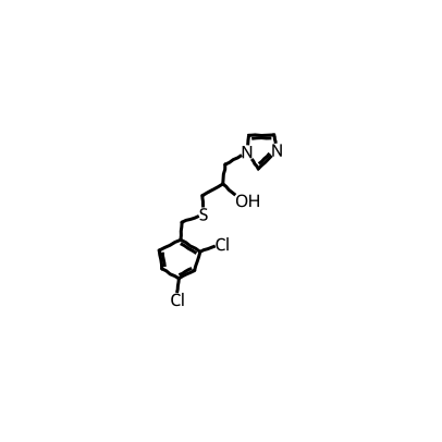 OC(CSCc1ccc(Cl)cc1Cl)Cn1ccnc1